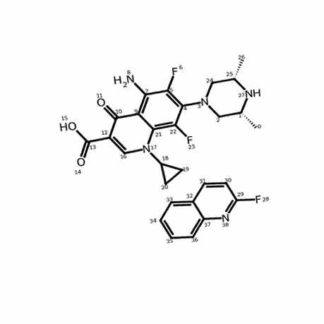 C[C@@H]1CN(c2c(F)c(N)c3c(=O)c(C(=O)O)cn(C4CC4)c3c2F)C[C@H](C)N1.Fc1ccc2ccccc2n1